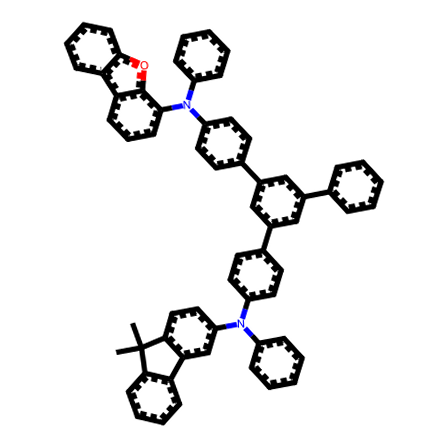 CC1(C)c2ccccc2-c2cc(N(c3ccccc3)c3ccc(-c4cc(-c5ccccc5)cc(-c5ccc(N(c6ccccc6)c6cccc7c6oc6ccccc67)cc5)c4)cc3)ccc21